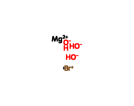 [Br+].[Mg+2].[OH-].[OH-].[OH-]